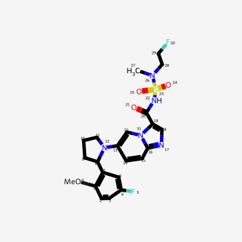 COc1ccc(F)cc1C1CCCN1c1ccc2ncc(C(=O)NS(=O)(=O)N(C)CCF)n2c1